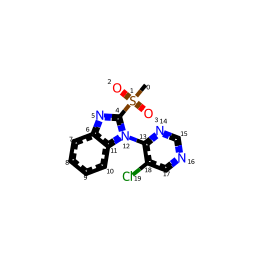 CS(=O)(=O)c1nc2ccccc2n1-c1ncncc1Cl